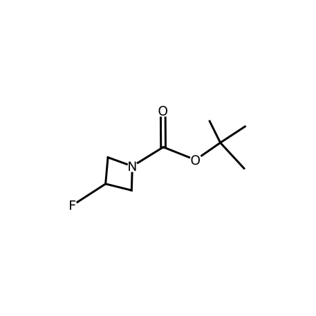 CC(C)(C)OC(=O)N1CC(F)C1